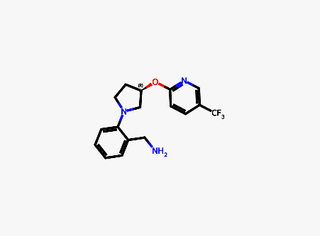 NCc1ccccc1N1CC[C@@H](Oc2ccc(C(F)(F)F)cn2)C1